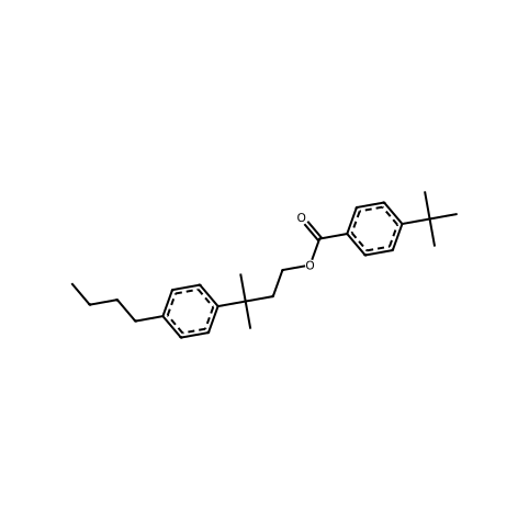 CCCCc1ccc(C(C)(C)CCOC(=O)c2ccc(C(C)(C)C)cc2)cc1